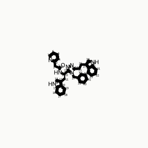 O=C(Cc1ccccn1)N[C@H](Cc1c[nH]c2ccccc12)c1nnc(CCc2c[nH]c3ccccc23)n1Cc1ccccc1